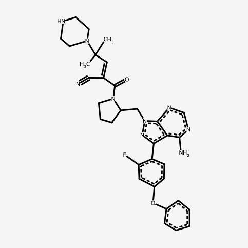 CC(C)(C=C(C#N)C(=O)N1CCCC1Cn1nc(-c2ccc(Oc3ccccc3)cc2F)c2c(N)ncnc21)N1CCNCC1